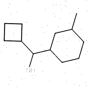 CC1CCCC(C(N)C2CCC2)C1